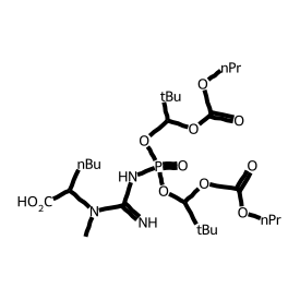 CCCCC(C(=O)O)N(C)C(=N)NP(=O)(OC(OC(=O)OCCC)C(C)(C)C)OC(OC(=O)OCCC)C(C)(C)C